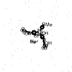 COc1ccc(-c2nc(-c3ccc(OCC(O)CS(=O)(=O)[O-])cc3O)nc(-c3ccc(OCC(O)CS(=O)(=O)[O-])cc3O)n2)cc1.[Na+].[Na+]